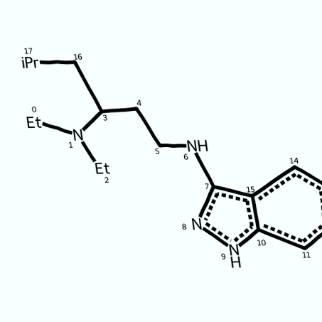 CCN(CC)C(CCNc1n[nH]c2ccccc12)CC(C)C